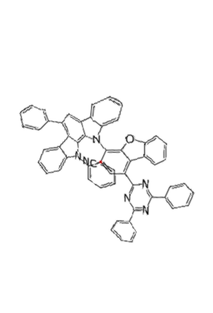 N#Cc1cc(-c2nc(-c3ccccc3)nc(-c3ccccc3)n2)c2c(oc3ccccc32)c1-n1c2ccccc2c2cc(-c3ccccc3)c3c4ccccc4n(-c4ccccc4)c3c21